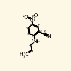 C=CCNc1ccc([N+](=O)[O-])cc1C#N